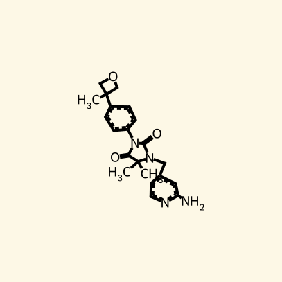 CC1(c2ccc(N3C(=O)N(Cc4ccnc(N)c4)C(C)(C)C3=O)cc2)COC1